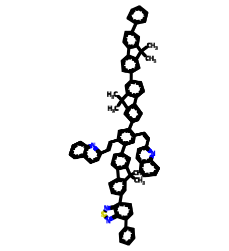 CC1(C)c2cc(-c3ccccc3)ccc2-c2ccc(-c3ccc4c(c3)C(C)(C)c3cc(-c5cc(/C=C/c6ccc7ccccc7n6)c(-c6ccc7c(c6)C(C)(C)c6cc(-c8ccc(-c9ccccc9)c9nsnc89)ccc6-7)cc5/C=C\c5ccc6ccccc6n5)ccc3-4)cc21